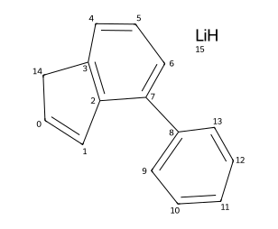 C1=Cc2c(cccc2-c2ccccc2)C1.[LiH]